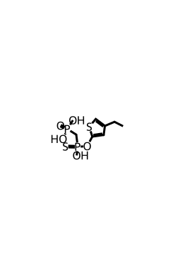 CCc1csc(OP(O)(=S)CP(=O)(O)O)c1